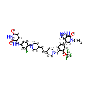 Cn1cc(-c2ccc(CN3CCC(CCC4CCN(c5ccc(NC6CCC(=O)NC6=O)cc5F)CC4)CC3)c(OC(F)(F)F)c2)c2cn[nH]c2c1=O